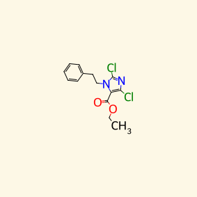 CCOC(=O)c1c(Cl)nc(Cl)n1CCc1ccccc1